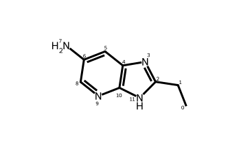 CCc1nc2cc(N)cnc2[nH]1